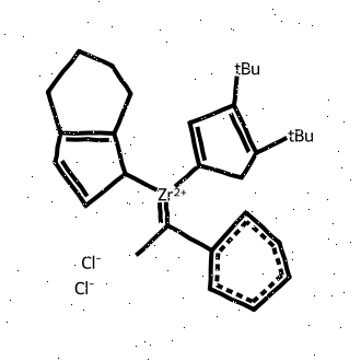 C/[C](c1ccccc1)=[Zr+2](/[C]1=CC(C(C)(C)C)=C(C(C)(C)C)C1)[CH]1C=CC2=C1CCCC2.[Cl-].[Cl-]